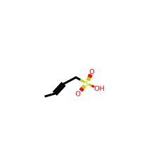 CC#CCS(=O)(=O)O